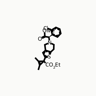 CCOC(=O)C1(c2cc3c(s2)CCN([C@@H](C(=O)OC)c2ccccc2Cl)C3)C(C)=C1C